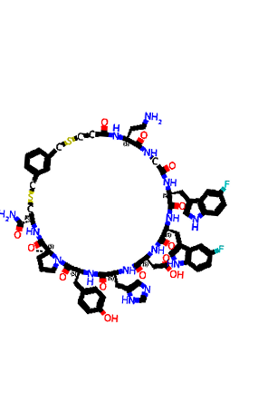 C[C@@]12CCCN1C(=O)[C@H](Cc1ccc(O)cc1)NC(=O)[C@H](Cc1cnc[nH]1)NC(=O)[C@H](CC(=O)O)NC(=O)[C@H](Cc1c[nH]c3ccc(F)cc13)NC(=O)[C@H](Cc1c[nH]c3ccc(F)cc13)NC(=O)CNC(=O)[C@H](CCN)NC(=O)CCSCc1cccc(c1)CSC[C@@H](C(N)=O)NC2=O